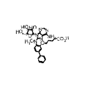 CN(c1ccc(-c2ccccc2)cc1OCCCCC(=O)O)c1nc2c(N)ncnc2n1[C@@H]1O[C@H](CO)[C@@H](O)[C@H]1O